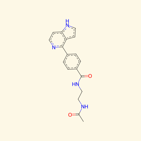 CC(=O)NCCNC(=O)c1ccc(-c2nccc3[nH]ccc23)cc1